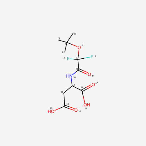 CC(C)(C)OC(F)(F)C(=O)NC(CC(=O)O)C(=O)O